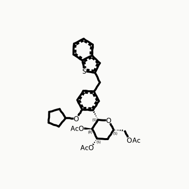 CC(=O)OC[C@@H]1C[C@H](OC(C)=O)[C@@H](OC(C)=O)[C@H](c2cc(Cc3cc4ccccc4s3)ccc2OC2CCCC2)O1